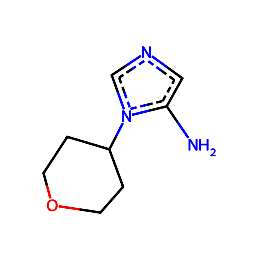 Nc1cncn1C1CCOCC1